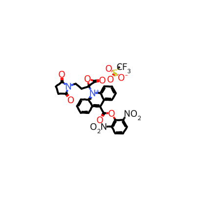 O=C(Oc1c([N+](=O)[O-])cccc1[N+](=O)[O-])c1c2ccccc2[n+](C2(CCN3C(=O)CCC3=O)OC2=O)c2ccccc12.O=S(=O)([O-])C(F)(F)F